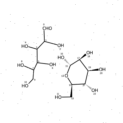 O=CC(O)C(O)C(O)C(O)CO.OC[C@H]1O[C@H](O)[C@@H](O)[C@@H](O)[C@@H]1O